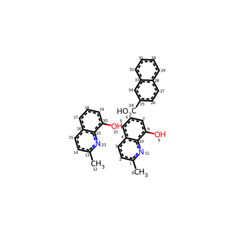 Cc1ccc2cccc(O)c2n1.Cc1ccc2cccc(O)c2n1.O=C(O)c1ccc2ccccc2c1